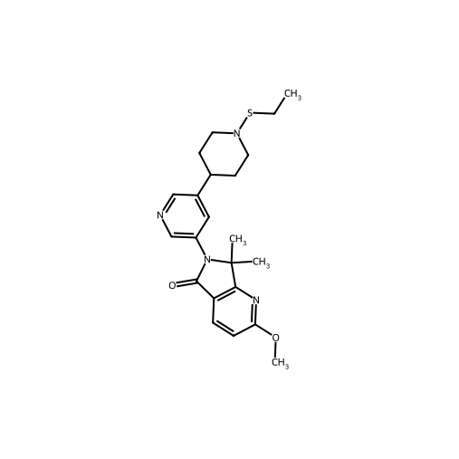 CCSN1CCC(c2cncc(N3C(=O)c4ccc(OC)nc4C3(C)C)c2)CC1